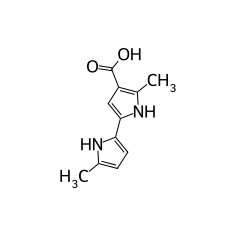 Cc1ccc(-c2cc(C(=O)O)c(C)[nH]2)[nH]1